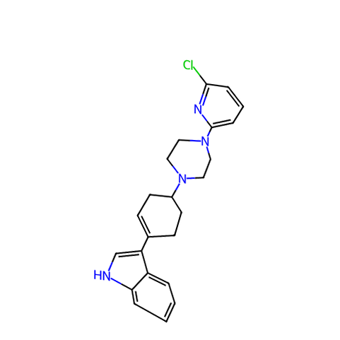 Clc1cccc(N2CCN(C3CC=C(c4c[nH]c5ccccc45)CC3)CC2)n1